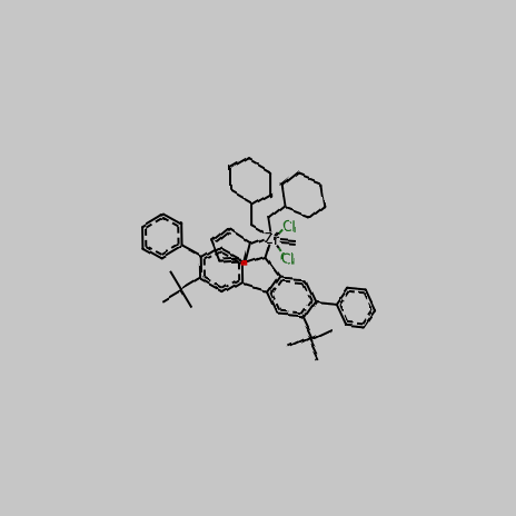 [CH2]=[Zr]([Cl])([Cl])([CH2]C1CCCCC1)([CH2]C1CCCCC1)([CH]1C=CC=C1)[CH]1c2cc(-c3ccccc3)c(C(C)(C)C)cc2-c2cc(C(C)(C)C)c(-c3ccccc3)cc21